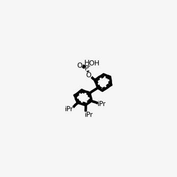 CC(C)c1ccc(-c2ccccc2O[PH](=O)O)c(C(C)C)c1C(C)C